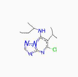 CCC(C)Nc1c(C(C)C)c(Cl)nc2ncnn12